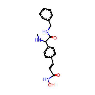 CNC(C(=O)NCc1ccccc1)c1ccc(C=CC(=O)NO)cc1